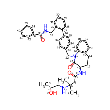 C[C@@H](O)CNC(C)(C)CC(=O)N[C@@H]1CCc2ccccc2N(Cc2ccc(-c3ccccc3CNC(=O)c3ccccc3)cc2)C1=O